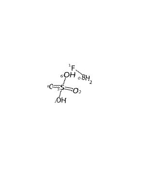 BF.O=S(=O)(O)O